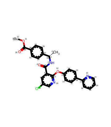 C[C@H](NC(=O)c1cc(Cl)cnc1Oc1ccc(-c2ccccn2)cc1)c1ccc(C(=O)OC(C)(C)C)cc1